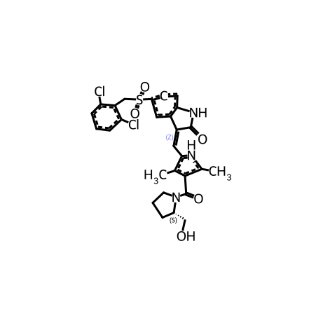 Cc1[nH]c(/C=C2\C(=O)Nc3ccc(S(=O)(=O)Cc4c(Cl)cccc4Cl)cc32)c(C)c1C(=O)N1CCC[C@H]1CO